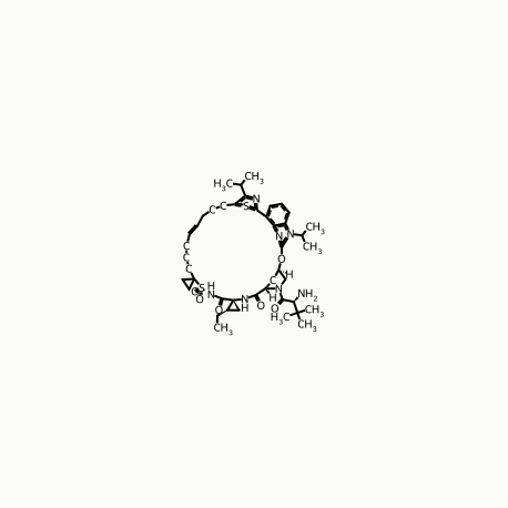 CC[C@@H]1C[C@@]12NC(=O)[C@@H]1C[C@H](CN1C(=O)[C@@H](N)C(C)(C)C)Oc1nc3c(cccc3n1C(C)C)-c1nc(C(C)C)c(s1)CCC/C=C/CCCC1(CC1)S(=O)(=O)NC2=O